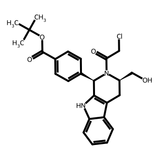 CC(C)(C)OC(=O)c1ccc([C@@H]2c3[nH]c4ccccc4c3C[C@H](CO)N2C(=O)CCl)cc1